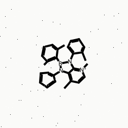 Cc1ccccc1N1B(c2c(C)cccc2C)N(c2ccccc2)c2c(C)cc[n+](C)c21